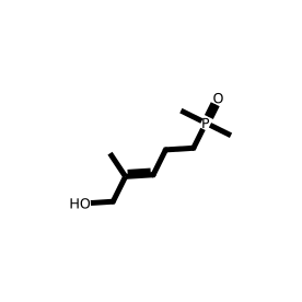 C/C(=C\CCP(C)(C)=O)CO